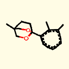 Cc1cccc(C23CCC(C)(CO2)CO3)c1C